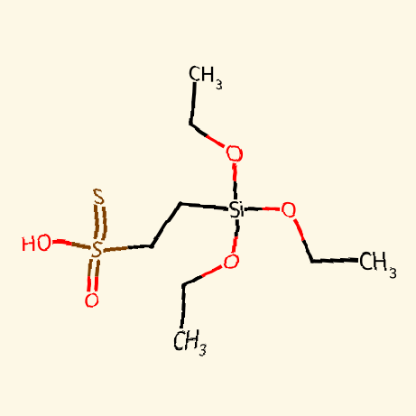 CCO[Si](CCS(=O)(O)=S)(OCC)OCC